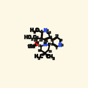 Cc1ncc(-c2ccncc2)c(N2CCC(C)(C)CC2)c1C(OC(C)(C)C)C(=O)O